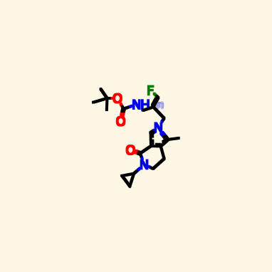 Cc1c2c(cn1C/C(=C/F)CNC(=O)OC(C)(C)C)C(=O)N(C1CC1)CC2